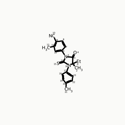 CCC1(C)C(=O)N(c2ccc(C#N)c(C)c2)C(=S)N1c1ccc(C)cc1